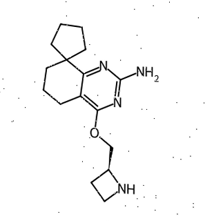 Nc1nc(OC[C@@H]2CCN2)c2c(n1)C1(CCCC1)CCC2